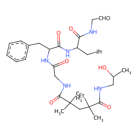 CCC(C)(CC(C)(C)C(=O)NCC(=O)NC(Cc1ccccc1)C(=O)NC(CC(C)C)C(=O)NCC=O)C(=O)NCC(C)O